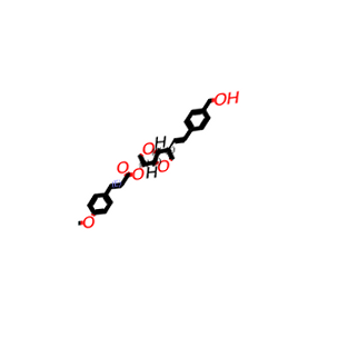 COc1ccc(/C=C/C(=O)O[C@@H]2CO[C@H]3[C@@H]2OC[C@@H]3C=Cc2ccc(CO)cc2)cc1